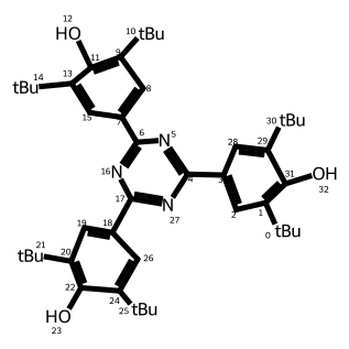 CC(C)(C)c1cc(-c2nc(-c3cc(C(C)(C)C)c(O)c(C(C)(C)C)c3)nc(-c3cc(C(C)(C)C)c(O)c(C(C)(C)C)c3)n2)cc(C(C)(C)C)c1O